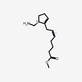 COC(=O)CCC/C=C\CC1=CCC[C@@H]1CN